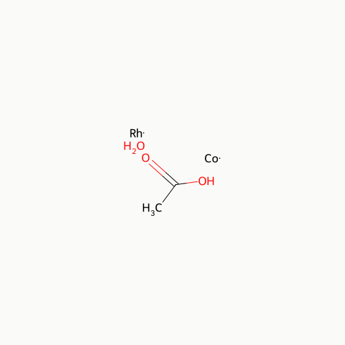 CC(=O)O.O.[Co].[Rh]